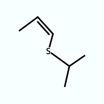 C/C=C\SC(C)C